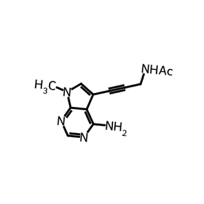 CC(=O)NCC#Cc1cn(C)c2ncnc(N)c12